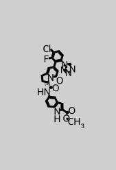 COC(=O)c1cc2cc(NC(=O)[C@@H]3CCc4cc(-c5c(-n6cnnn6)ccc(Cl)c5F)cc(=O)n43)ccc2[nH]1